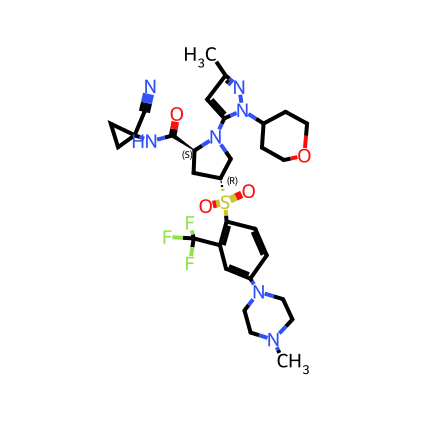 Cc1cc(N2C[C@H](S(=O)(=O)c3ccc(N4CCN(C)CC4)cc3C(F)(F)F)C[C@H]2C(=O)NC2(C#N)CC2)n(C2CCOCC2)n1